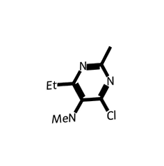 CCc1nc(C)nc(Cl)c1NC